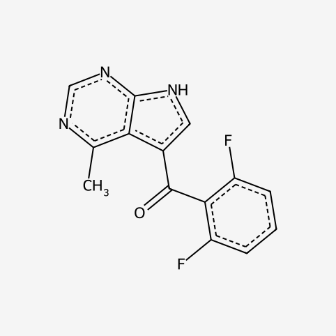 Cc1ncnc2[nH]cc(C(=O)c3c(F)cccc3F)c12